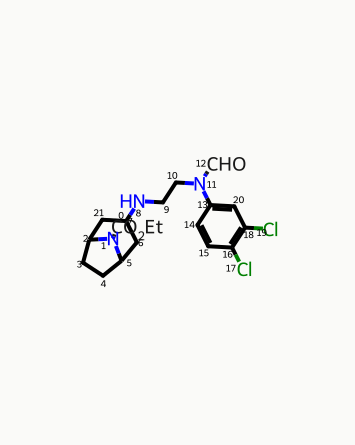 CCOC(=O)N1C2CCC1CC(NCCN(C=O)c1ccc(Cl)c(Cl)c1)C2